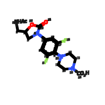 CC(=O)NCC1CN(c2cc(F)c(N3CCN(C(=O)O)CC3)c(F)c2)C(=O)O1